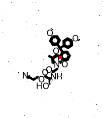 COc1ccc(C(Oc2nc(=O)n(CC(=O)N[C@@H](CO)C(=O)OCCC#N)cc2C)(c2ccccc2)c2ccc(OC)cc2)cc1